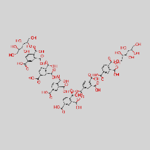 O=C(O)c1ccc(C(=O)O)c(C(=O)O)c1.O=C(O)c1ccc(C(=O)O)c(C(=O)O)c1.O=C(O)c1ccc(C(=O)O)c(C(=O)O)c1.O=C(O)c1ccc(C(=O)O)c(C(=O)O)c1.O=C(O)c1ccc(C(=O)O)c(C(=O)O)c1.O=C(O)c1ccc(C(=O)O)c(C(=O)O)c1.OC[C@@H](O)[C@@H](O)[C@H](O)[C@H](O)CO.OC[C@@H](O)[C@@H](O)[C@H](O)[C@H](O)CO